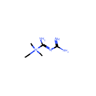 C[N+](C)(C)/C(N)=N/C(=N)N